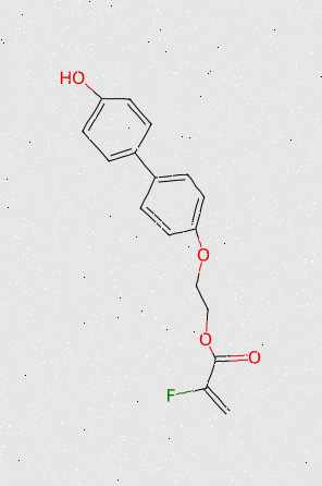 C=C(F)C(=O)OCCOc1ccc(-c2ccc(O)cc2)cc1